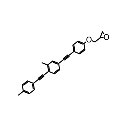 Cc1ccc(C#Cc2ccc(C#Cc3ccc(OCC4CO4)cc3)cc2C)cc1